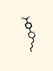 CCCCCC1CCC(c2ccc(C(=O)Cl)cc2)OC1